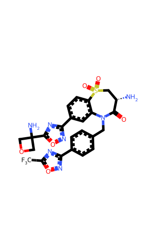 N[C@H]1CS(=O)(=O)c2ccc(-c3noc(C4(N)COC4)n3)cc2N(Cc2ccc(-c3noc(C(F)(F)F)n3)cc2)C1=O